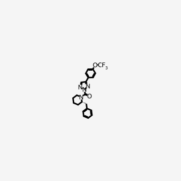 O=C(N1CCCC[C@H]1Cc1ccccc1)n1ncc(-c2ccc(OC(F)(F)F)cc2)n1